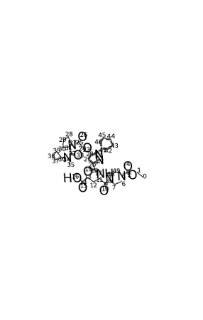 CCOC(=O)N1CCN(C(=O)C(CCC(=O)O)NC(=O)c2cc(OCC(=O)N3CCCC3C(=O)N(C)C3CCC3)n(-c3ccccc3)n2)CC1